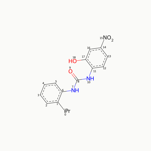 CC(C)c1ccccc1NC(=O)Nc1ccc([N+](=O)[O-])cc1O